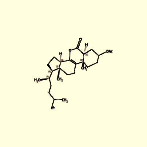 CC(=O)OC1CC[C@]2(C)C3=C(OC(=O)[C@H]2C1)[C@@H]1CC[C@H]([C@H](C)CCC(C)C(C)C)[C@@]1(C)CC3